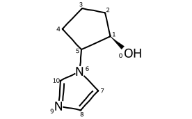 O[C@@H]1CCCC1n1ccnc1